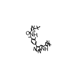 Cc1cc(-c2ncnc3[nH]c(-c4cnn(C)c4)cc23)ccc1C(C)NC(=O)c1cnc(C(C)(C)C)s1